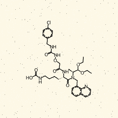 CCOC(OCC)[C@H](C)N(Cc1cccc2cccnc12)C(=O)[C@H](CCCCNC(=O)O)NC(=O)CONC(=O)NCc1ccc(Cl)cc1